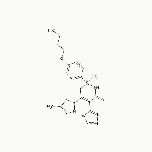 CCCCOc1ccc([C@]2(C)CC(c3ncc(C)s3)=C(c3nnc[nH]3)C(=O)N2)cc1